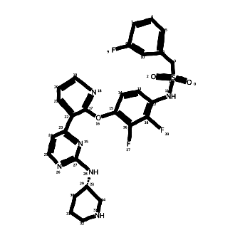 O=S(=O)(Cc1cccc(F)c1)Nc1ccc(Oc2ncccc2-c2ccnc(N[C@H]3CCCNC3)n2)c(F)c1F